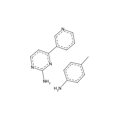 Cc1ccc(N)cc1.Nc1nccc(-c2cccnc2)n1